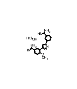 COc1ccc(C(=N)N)cc1-c1cc(-c2cccc(C(=N)N)c2)no1.Cl.Cl